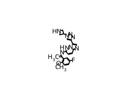 COc1ccc(F)cc1[C@@H](C)Nc1ccc2ncc(-c3cn(C4CNC4)nn3)n2n1